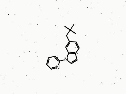 CC(C)(C)Cc1ccc2ccn(-c3ccccn3)c2c1